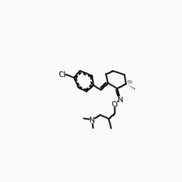 CC(CON=C1C(=Cc2ccc(Cl)cc2)CCC[C@@H]1C)CN(C)C